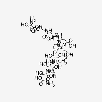 CC(C)C(N)C(=O)O.CCCNC(CCO)C(=O)O.NC(CO)C(=O)O.NC(CO)C(=O)O.NC(CO)C(=O)O.NC(Cc1c[nH]cn1)C(=O)O.NCC(=O)O.OCCCc1ccccc1